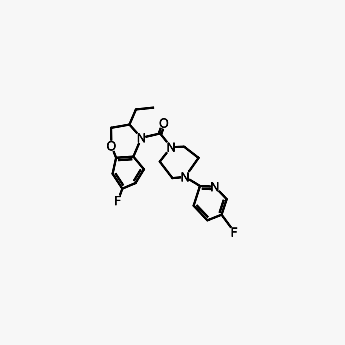 CCC1COc2cc(F)ccc2N1C(=O)N1CCN(c2ccc(F)cn2)CC1